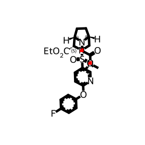 CCOC(=O)[C@@H]1[C@@H]2CC[C@H](CN1S(=O)(=O)c1ccc(Oc3ccc(F)cc3)nc1)N2CC(=O)N(C)C